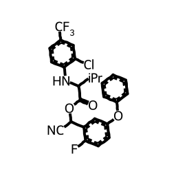 CC(C)C(Nc1ccc(C(F)(F)F)cc1Cl)C(=O)OC(C#N)c1cc(Oc2ccccc2)ccc1F